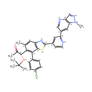 CC(=O)[C@@H](OC(C)(C)C)c1c(C)cc2nc(-c3ccnc(-c4cnc5cnn(C)c5c4)c3)sc2c1-c1ccc(Cl)cc1